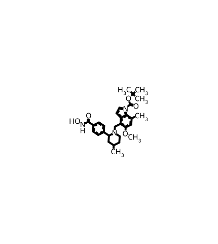 COc1cc(C)c2c(ccn2C(=O)OC(C)(C)C)c1CN1CCC(C)CC1c1ccc(C(=O)NO)cc1